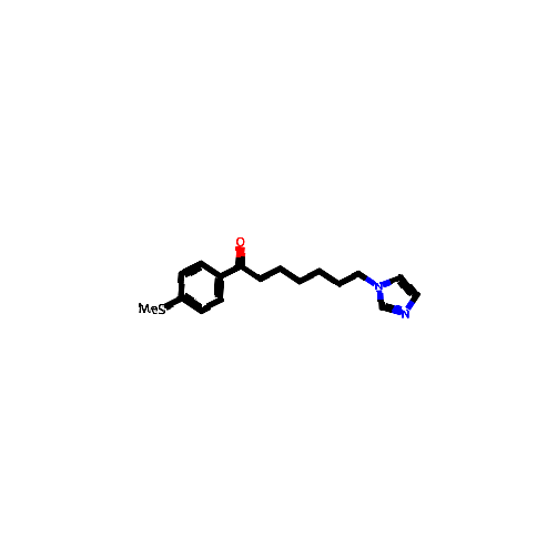 CSc1ccc(C(=O)CCCCCCn2ccnc2)cc1